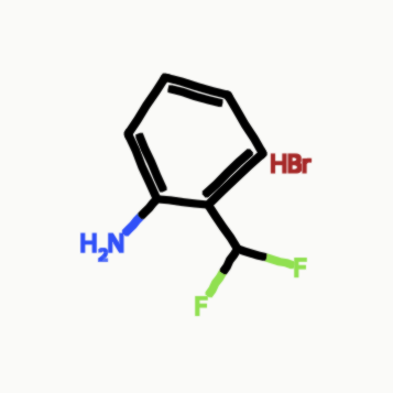 Br.Nc1ccccc1C(F)F